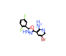 Nc1ncc(Br)cc1C1=NNC(c2cc(F)ccc2F)O1